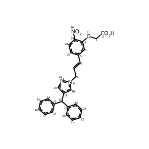 O=C(O)COc1cc(/C=C/Cn2cc(C(c3ccccc3)c3ccccc3)cn2)ccc1[N+](=O)[O-]